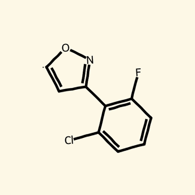 Fc1cccc(Cl)c1-c1c[c]on1